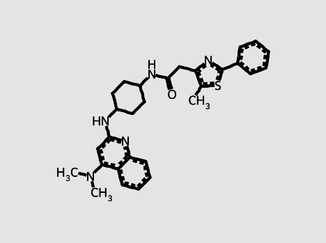 Cc1sc(-c2ccccc2)nc1CC(=O)NC1CCC(Nc2cc(N(C)C)c3ccccc3n2)CC1